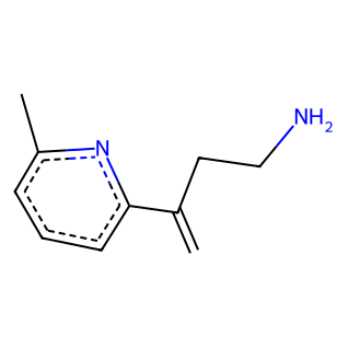 C=C(CCN)c1cccc(C)n1